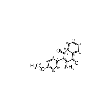 COc1ccc(C2=C(N)C(=O)c3ccccc3C2=O)cc1